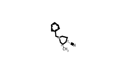 C[C@@H]1CN(Cc2ccccc2)CC[C@@H]1C#N